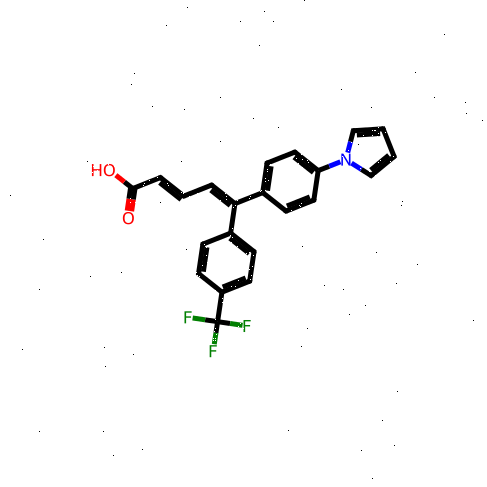 O=C(O)/C=C/C=C(/c1ccc(-n2cccc2)cc1)c1ccc(C(F)(F)F)cc1